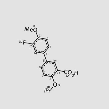 COc1ccc(-c2ccc(OC(C)C)c(C(=O)O)c2)cc1F